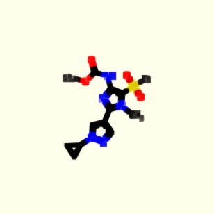 CCS(=O)(=O)c1c(NC(=O)OC(C)(C)C)nc(-c2cnn(C3CC3)c2)n1C